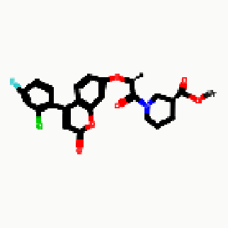 CC(C)OC(=O)[C@H]1CCCN(C(=O)[C@@H](C)Oc2ccc3c(-c4ccc(F)cc4Cl)cc(=O)oc3c2)C1